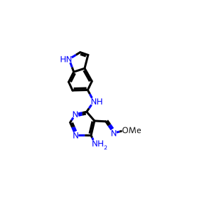 CO/N=C/c1c(N)ncnc1Nc1ccc2[nH]ccc2c1